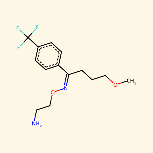 COCCC/C(=N/OCCN)c1ccc(C(F)(F)F)cc1